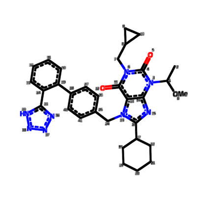 COC(C)n1c(=O)n(CC2CC2)c(=O)c2c1nc(C1CCCCC1)n2Cc1ccc(-c2ccccc2-c2nnn[nH]2)cc1